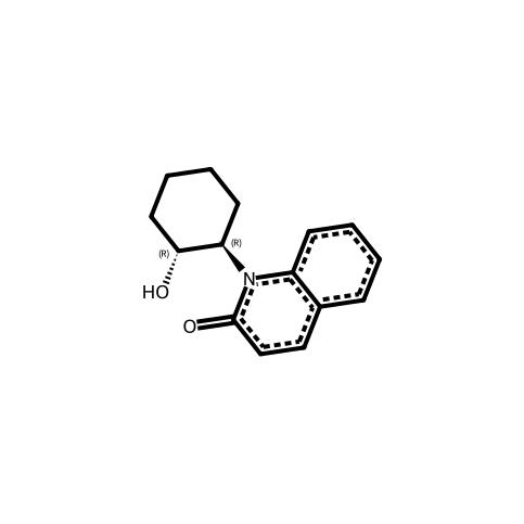 O=c1ccc2ccccc2n1[C@@H]1CCCC[C@H]1O